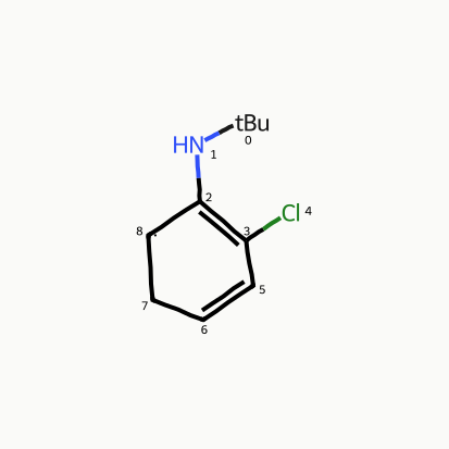 CC(C)(C)NC1=C(Cl)C=CC[CH]1